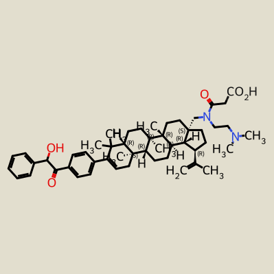 C=C(C)[C@@H]1CC[C@]2(CN(CCN(C)C)C(=O)CC(=O)O)CC[C@]3(C)[C@H](CC[C@@H]4[C@@]5(C)CC=C(c6ccc(C(=O)C(O)c7ccccc7)cc6)C(C)(C)[C@@H]5CC[C@]43C)[C@@H]12